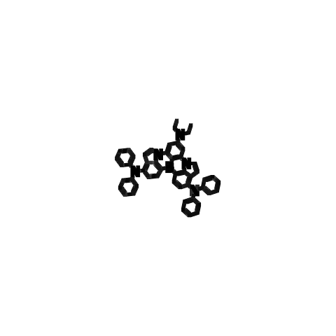 CCN(CC)c1cc2c3c(c1)-n1ccc4c(N(c5ccccc5)c5ccccc5)ccc(c41)B3c1ccc(N(c3ccccc3)c3ccccc3)c3ccn-2c13